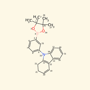 CC1(C)OB(c2cccc(-n3c4c(c5ccccc53)C=CCC4)c2)OC1(C)C